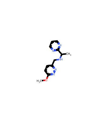 COc1ccc(CNC(C)c2ncccn2)nn1